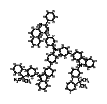 CC1(C)c2ccccc2-c2ccc(-n3c4ccccc4c4ccc(-c5ccc6c(c5)c5cc(-c7ccc8c9ccccc9n(-c9ccc%10c(c9)C(C)(C)c9ccccc9-%10)c8c7)ccc5n6-c5ccc(-c6nc(-c7ccccc7)nc7ccc8ccccc8c67)cc5)cc43)cc21